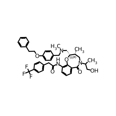 CC(CO)N1C[C@@H](C)[C@@H](CN(C)Cc2ccc(OCCc3ccccc3)cc2)Oc2c(NC(=O)Cc3ccc(C(F)(F)F)cc3)cccc2C1=O